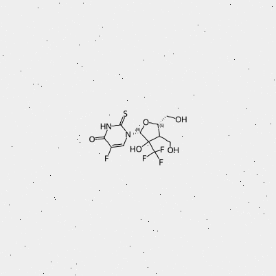 O=c1[nH]c(=S)n([C@@H]2O[C@H](CO)C(CO)C2(O)C(F)(F)F)cc1F